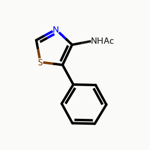 CC(=O)Nc1ncsc1-c1ccccc1